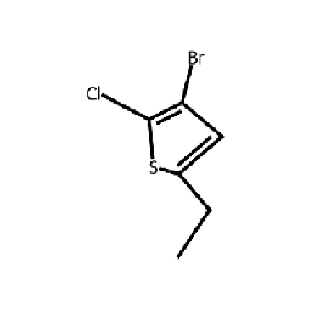 CCc1cc(Br)c(Cl)s1